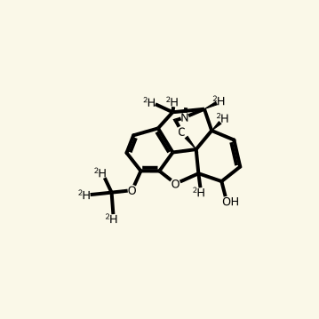 [2H]C([2H])([2H])Oc1ccc2c3c1OC1([2H])C(O)C=C[C@]4([2H])[C@@]31CCN(C)[C@]4([2H])C2([2H])[2H]